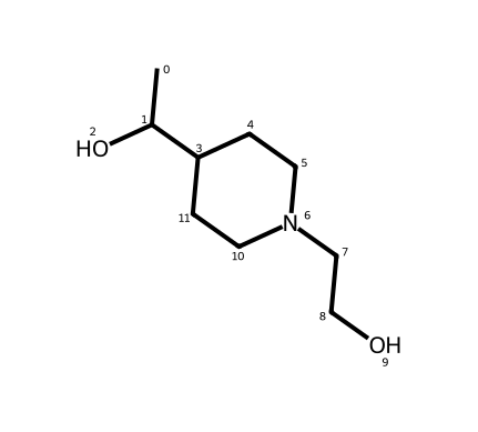 CC(O)C1CCN(CCO)CC1